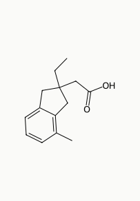 CCC1(CC(=O)O)Cc2cccc(C)c2C1